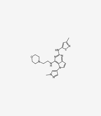 Cc1cc(Nc2nc(NCCN3CCOCC3)c3c(ccn3-c3cnn(C)c3)n2)sn1